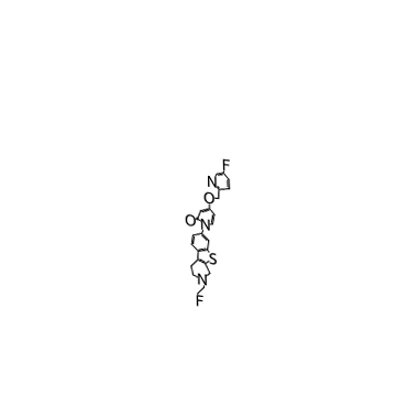 O=c1cc(OCc2ccc(F)cn2)ccn1-c1ccc2c3c(sc2c1)CN(CCF)CC3